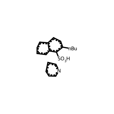 CCCCc1ccc2ccccc2c1S(=O)(=O)O.c1ccncc1